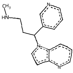 CNCCC(c1cccnc1)n1ccc2ncccc21